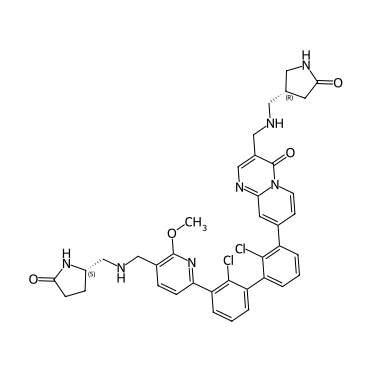 COc1nc(-c2cccc(-c3cccc(-c4ccn5c(=O)c(CNC[C@@H]6CNC(=O)C6)cnc5c4)c3Cl)c2Cl)ccc1CNC[C@@H]1CCC(=O)N1